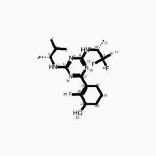 CC(C)[C@@H](C)Nc1nc(N[C@H](C)C(F)(F)F)nc(C2=C(F)C(O)CCC2)n1